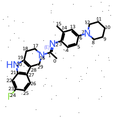 C/C(=N\c1ccc(N2CCCCC2)cc1C)N1CCc2[nH]c3cc(F)ccc3c2C1